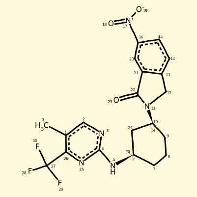 Cc1cnc(N[C@@H]2CCC[C@H](N3Cc4ccc([N+](=O)[O-])cc4C3=O)C2)nc1C(F)(F)F